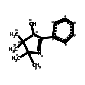 CC1(C)N=C(c2ccccc2)N(O)C1(C)C